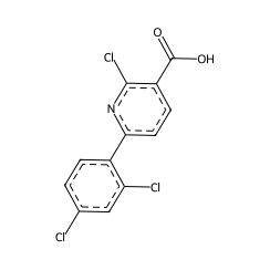 O=C(O)c1ccc(-c2ccc(Cl)cc2Cl)nc1Cl